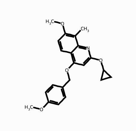 COc1ccc(COc2cc(OC3CC3)nc3c(C)c(OC)ccc23)cc1